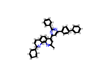 Cc1cc(-c2cc(-c3ccc(-c4ccccc4)cc3)nc(-c3ccccc3)n2)c2ccc3ccc(-c4ccccc4)nc3c2n1